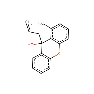 C=CCC1(O)c2ccccc2Sc2cccc(C(F)(F)F)c21